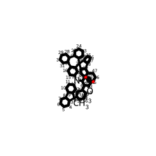 CC1(C)c2ccccc2-c2ccc(N(c3ccc4c(c3)C3(c5ccccc5-c5ccccc5-4)c4ccccc4-c4c3ccc3ccccc43)c3cccc4oc5ccccc5c34)cc21